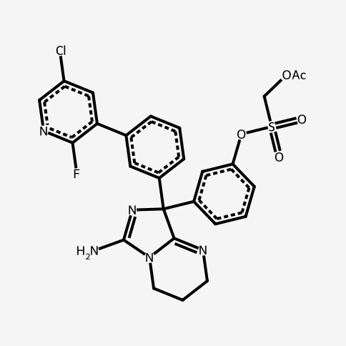 CC(=O)OCS(=O)(=O)Oc1cccc(C2(c3cccc(-c4cc(Cl)cnc4F)c3)N=C(N)N3CCCN=C32)c1